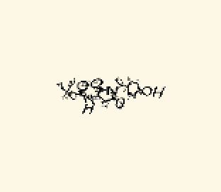 CC(c1ccc(O)cc1)N1C(=O)CC(NC(=O)OC(C)(C)C)C1=O